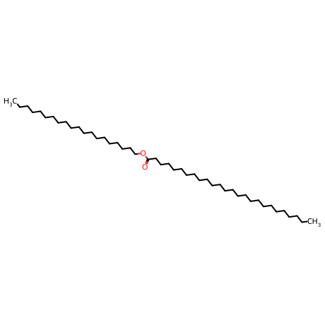 CCCCCCCCCCCCCCCCCCCCCCCCCC(=O)OCCCCCCCCCCCCCCCCCCCC